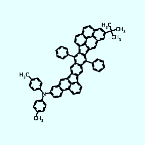 Cc1ccc(N(c2ccc(C)cc2)c2ccc3c(c2)cc2c4cc5c(-c6ccccc6)c6c7ccc8ccc9cc(C(C)(C)C)cc%10cc(c6c(-c6ccccc6)c5cc4c4cccc3c42)c7c8c9%10)cc1